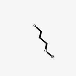 CCOC[CH]C[O]